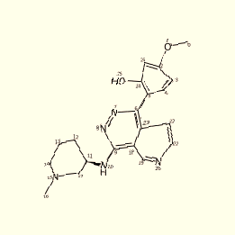 COc1ccc(-c2nnc(N[C@@H]3CCCN(C)C3)c3cnccc23)c(O)c1